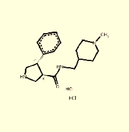 CN1CCC(CNC(=O)[C@H]2CNC[C@@H]2c2ccccc2)CC1.Cl.Cl